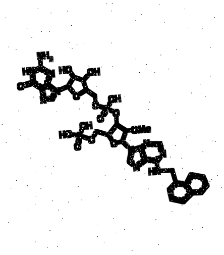 COC1C(OP(=O)(O)OCC2OC(n3cnc4c(=O)[nH]c(N)nc43)C(O)C2O)C(COP(=O)(O)O)OC1n1cnc2c(NCc3cccc4ccccc34)ncnc21